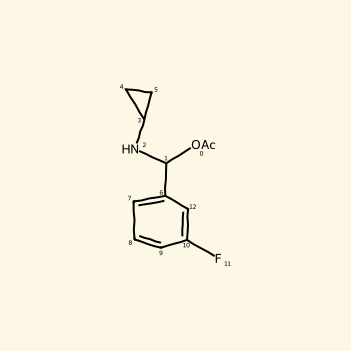 CC(=O)OC(NC1CC1)c1cccc(F)c1